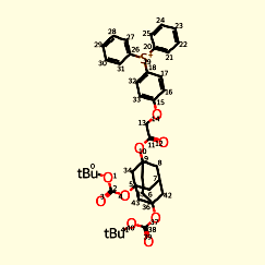 CC(C)(C)OC(=O)OC12CC3CC(OC(=O)COc4ccc([S+](c5ccccc5)c5ccccc5)cc4)(C1)CC(OC(=O)OC(C)(C)C)(C3)C2